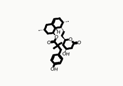 C[C@@H]1CC2=CC[C@H](C)[C@H](CC[C@@H]3C[C@@H](O)CC(=O)O3)[C@H]2[C@@H](OC(=O)C(C)(C)Cc2ccc(O)cc2)C1